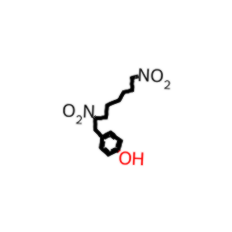 O=[N+]([O-])CCCCCCC(Cc1ccc(O)cc1)[N+](=O)[O-]